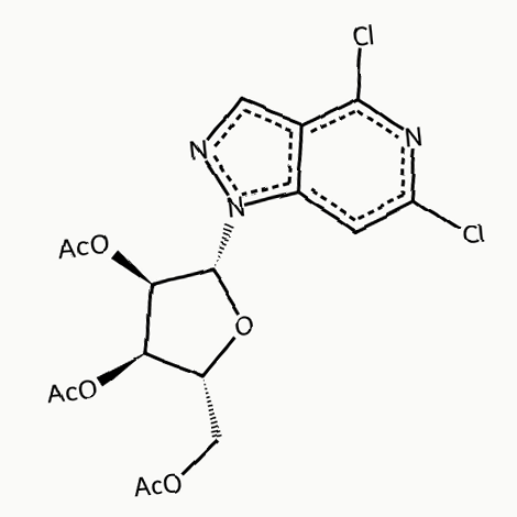 CC(=O)OC[C@H]1O[C@@H](n2ncc3c(Cl)nc(Cl)cc32)[C@H](OC(C)=O)[C@@H]1OC(C)=O